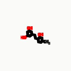 Cc1ccc(/C=C/c2cc(O)cc(O)c2)c(O)c1